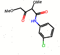 COCC(=O)C(OC)C(=O)Nc1cccc(Cl)c1